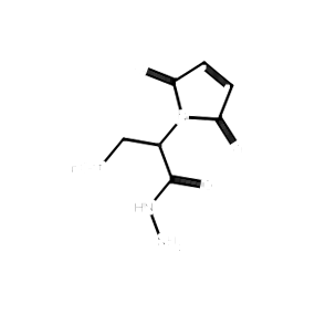 CCCCCCCCCC(C(=O)NN)N1C(=O)C=CC1=O